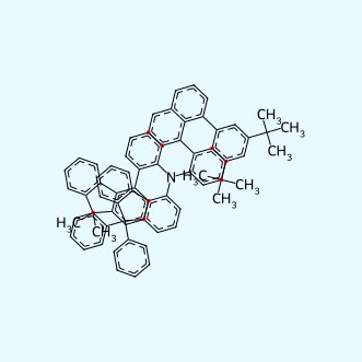 CC(C)(C)c1cc(-c2cccc3cccc(-c4ccccc4N(c4ccccc4-c4cccc5c4-c4ccccc4C5(C)C)c4cccc5c4-c4ccccc4C5(c4ccccc4)c4ccccc4)c23)cc(C(C)(C)C)c1